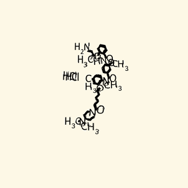 COc1cc(C(=O)N(C)c2ccc(C)cc2OCCCCCC(=O)N2CCC(N(C)C)CC2)ccc1NC(=O)c1ccccc1O[C@H](C)CCN.Cl.Cl